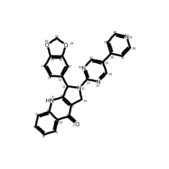 O=c1c2c([nH]c3ccccc13)C(c1ccc3c(c1)OCO3)N(c1ncc(-c3ccncc3)cn1)C2